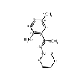 C/C(=N\N1CCCCC1)c1cc(C)ccc1N